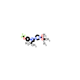 CC(C)c1cc(N2CCCN(C(=O)OC(C)(C)C)CC2)nn1-c1ccc(OC(F)(F)F)cc1